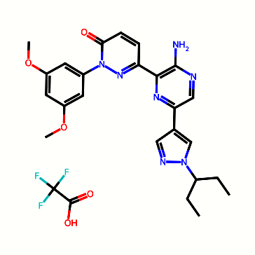 CCC(CC)n1cc(-c2cnc(N)c(-c3ccc(=O)n(-c4cc(OC)cc(OC)c4)n3)n2)cn1.O=C(O)C(F)(F)F